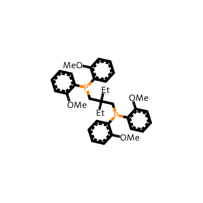 CCC(CC)(CP(c1ccccc1OC)c1ccccc1OC)CP(c1ccccc1OC)c1ccccc1OC